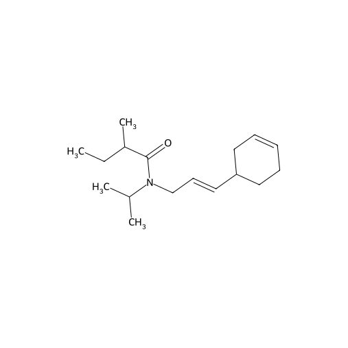 CCC(C)C(=O)N(C/C=C/C1CC=CCC1)C(C)C